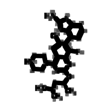 C[C@@H](CN(C)C)Oc1nc(N2CCNCC2)c2cc(Cl)c(-c3cccc4sc(N)nc34)c(F)c2n1